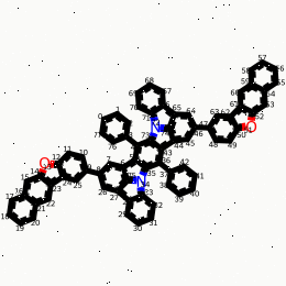 c1ccc(-c2c3c4cc(-c5ccc6oc7cc8ccccc8cc7c6c5)cc5c6ccccc6n(c3c(-c3ccccc3)c3c6cc(-c7ccc8oc9cc%10ccccc%10cc9c8c7)cc7c8ccccc8n(c23)c76)c54)cc1